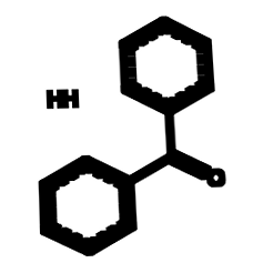 O=C(c1ccccc1)c1ccccc1.[HH]